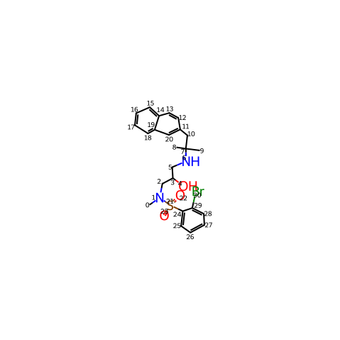 CN(CC(O)CNC(C)(C)Cc1ccc2ccccc2c1)S(=O)(=O)c1ccccc1Br